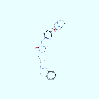 CC(=O)N1C2CCC1CC(c1ccc(CN3CCN(C[C@H](O)CN4CCc5ccccc5C4)C3=O)nc1)C2